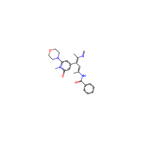 C=N/C(C)=C(\C=C(/C)NC(=O)c1ccccc1)c1cc(N2CCOCC2)n(C)c(=O)c1